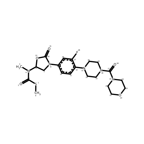 CSC(=O)N(C)C1CN(c2ccc(N3CCN(C(=O)N4CCOCC4)CC3)c(F)c2)C(=O)O1